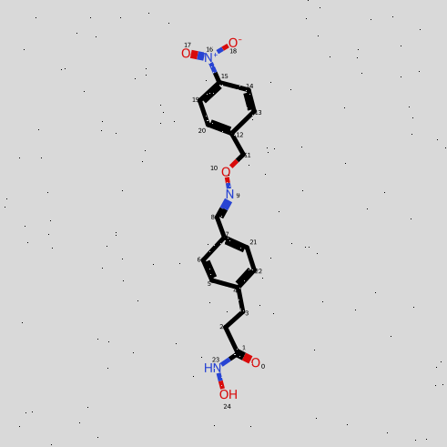 O=C(CCc1ccc(/C=N/OCc2ccc([N+](=O)[O-])cc2)cc1)NO